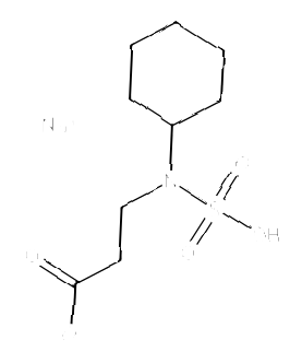 O=C([O-])CCN(C1CCCCC1)S(=O)(=O)O.[Na+]